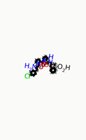 N[C@@H](Cc1ccc(Cl)cc1)C(=O)N1CCC[C@H]1C(=O)N1CCC[C@H]1C(=O)N[C@H](CC(=O)O)Cc1ccccc1